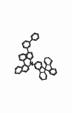 C1=CC2c3cc(N(c4ccc(-c5cccc(-c6ccccc6)c5)cc4)c4ccc5ccccc5c4-c4ccccc4)ccc3C3(C4=CCCC=C4c4ccccc43)C2C=C1